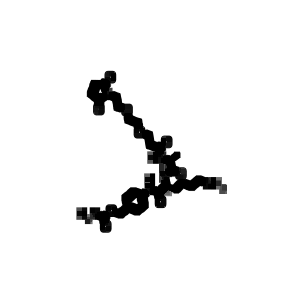 C[C@H](NC(=O)CCOCCOCCN1C(=O)C=CC1=O)C(=O)N[C@@H](CCCCN)C(=O)Nc1ccc(COC(N)=O)cc1